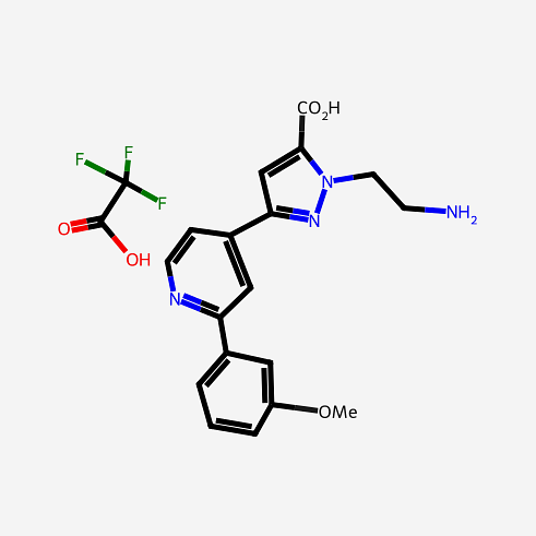 COc1cccc(-c2cc(-c3cc(C(=O)O)n(CCN)n3)ccn2)c1.O=C(O)C(F)(F)F